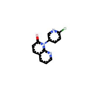 O=c1ccc2cccnc2n1-c1ccc(Cl)nc1